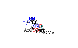 CCOC(C(=O)NCc1ccc(C(=N)N)cc1NCC(=O)OC(C)=O)c1ccc(OC)cc1F